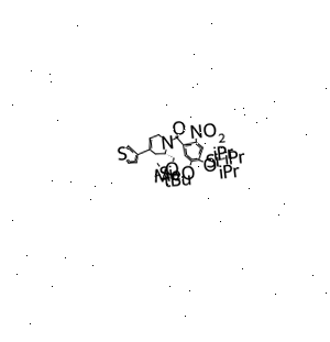 COc1cc(C(=O)N2CC=C(c3ccsc3)C[C@H]2CO[Si](C)(C)C(C)(C)C)c([N+](=O)[O-])cc1O[Si](C(C)C)(C(C)C)C(C)C